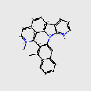 Cc1c2ccccc2cc2c1c1c3c(ccc4c5cccnc5n2c43)cc[n+]1C